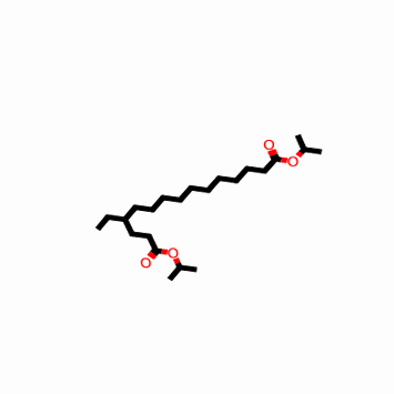 CCC(CCCCCCCCCCC(=O)OC(C)C)CCC(=O)OC(C)C